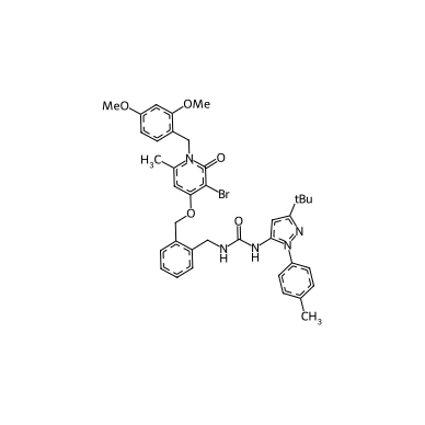 COc1ccc(Cn2c(C)cc(OCc3ccccc3CNC(=O)Nc3cc(C(C)(C)C)nn3-c3ccc(C)cc3)c(Br)c2=O)c(OC)c1